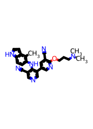 Cc1c(Nc2c(C#N)cncc2-c2cnc(OCCCN(C)C)c(C#N)c2)ccc2[nH]ccc12